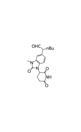 CCCCC(C=O)c1ccc2c(c1)n(C)c(=O)n2C1CCC(=O)NC1=O